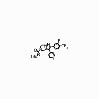 CC(C)(C)OC(=O)N1CCn2nc(-c3ccc(C(F)(F)F)c(F)c3)c(-c3ccncc3)c2C1